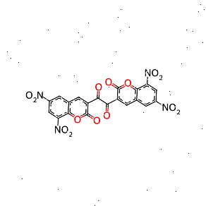 O=C(C(=O)c1cc2cc([N+](=O)[O-])cc([N+](=O)[O-])c2oc1=O)c1cc2cc([N+](=O)[O-])cc([N+](=O)[O-])c2oc1=O